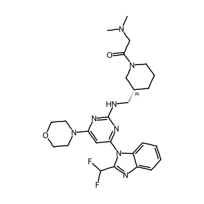 CN(C)CC(=O)N1CCC[C@H](CNc2nc(N3CCOCC3)cc(-n3c(C(F)F)nc4ccccc43)n2)C1